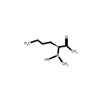 CCCC[C@@H](C(C)=O)N(C)S